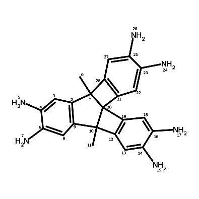 CC12c3cc(N)c(N)cc3C3(C)c4cc(N)c(N)cc4C13c1cc(N)c(N)cc12